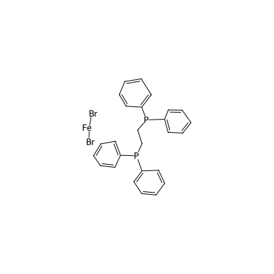 [Br][Fe][Br].c1ccc(P(CCP(c2ccccc2)c2ccccc2)c2ccccc2)cc1